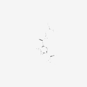 Cn1nc(C(N)=O)[c]c1C(=O)NCC(F)F